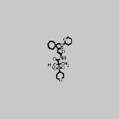 CC(C)(C(=O)Nc1cc(C2(COC3CCCCO3)CCCCC2)no1)S(=O)(=O)C1CCOCC1